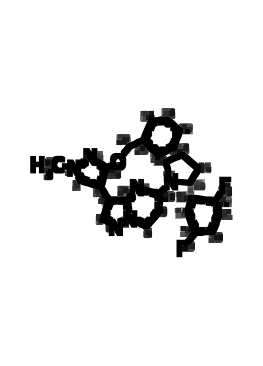 Cn1cc(-c2cnn3ccc(N4CCC[C@@H]4c4cc(F)ccc4F)nc23)c(OCc2ccccc2)n1